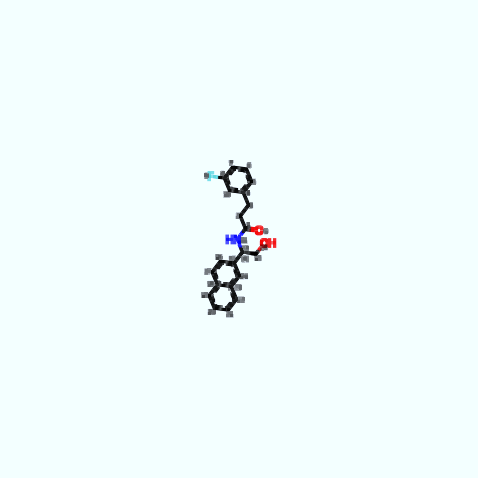 O=C(CCc1cccc(F)c1)N[C@@H](CO)c1ccc2ccccc2c1